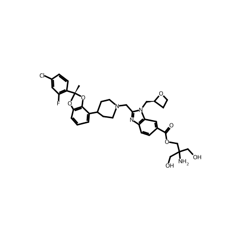 C[C@]1(c2ccc(Cl)cc2F)Oc2cccc(C3CCN(Cc4nc5ccc(C(=O)OCC(N)(CO)CO)cc5n4C[C@@H]4CCO4)CC3)c2O1